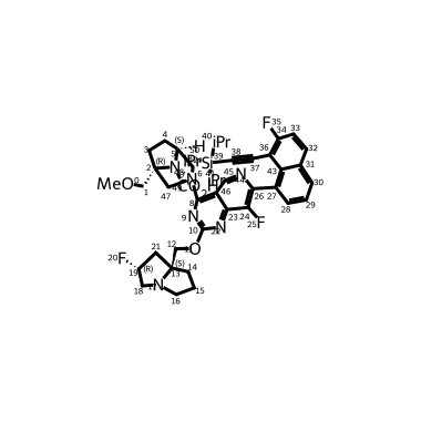 COC[C@@]12CC[C@@H](CN(c3nc(OC[C@@]45CCCN4C[C@H](F)C5)nc4c(F)c(-c5cccc6ccc(F)c(C#C[Si](C(C)C)(C(C)C)C(C)C)c56)ncc34)C1)N2C(=O)O